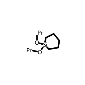 CC(C)O[Si]1(OC(C)C)CCCCC1